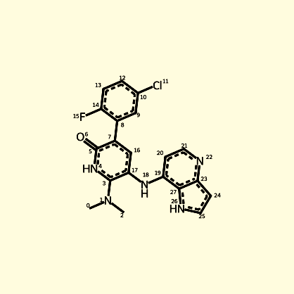 CN(C)c1[nH]c(=O)c(-c2cc(Cl)ccc2F)cc1Nc1ccnc2cc[nH]c12